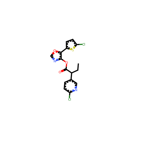 CCC(C(=O)Oc1ncoc1-c1ccc(Cl)s1)c1ccc(Cl)nc1